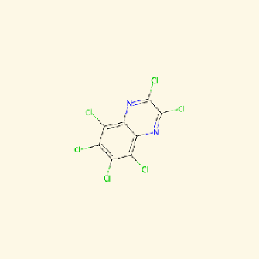 Clc1nc2c(Cl)c(Cl)c(Cl)c(Cl)c2nc1Cl